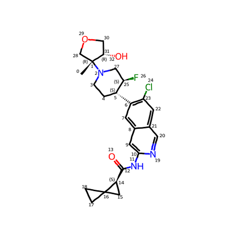 C[C@@]1(N2CC[C@@H](c3cc4cc(NC(=O)[C@H]5CC56CC6)ncc4cc3Cl)[C@H](F)C2)COC[C@@H]1O